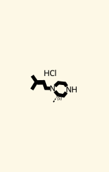 CC(C)=CCN1CCNC[C@@H]1C.Cl